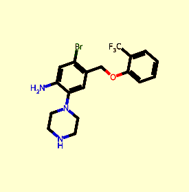 Nc1cc(Br)c(COc2ccccc2C(F)(F)F)cc1N1CCNCC1